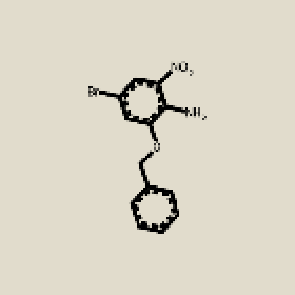 Nc1c(OCc2ccccc2)cc(Br)cc1[N+](=O)[O-]